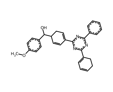 COc1ccc(C(O)C2C=CC(c3nc(C4=CC=CCC4)nc(-c4ccccc4)n3)=CC2)cc1